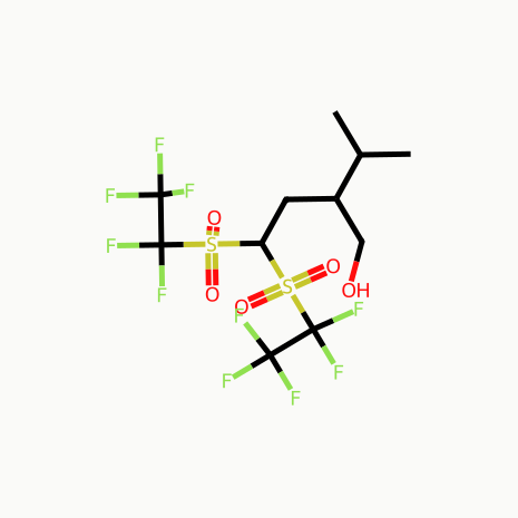 CC(C)C(CO)CC(S(=O)(=O)C(F)(F)C(F)(F)F)S(=O)(=O)C(F)(F)C(F)(F)F